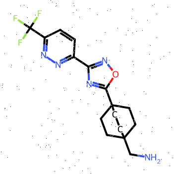 NCC12CCC(c3nc(-c4ccc(C(F)(F)F)nn4)no3)(CC1)CC2